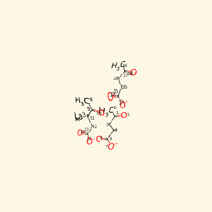 CC(=O)CCC(=O)[O-].CC(=O)CCC(=O)[O-].CC(=O)CCC(=O)[O-].[La+3]